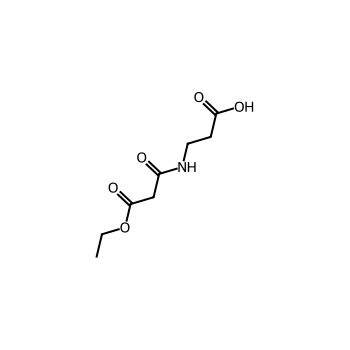 CCOC(=O)CC(=O)NCCC(=O)O